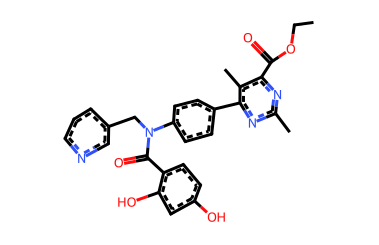 CCOC(=O)c1nc(C)nc(-c2ccc(N(Cc3cccnc3)C(=O)c3ccc(O)cc3O)cc2)c1C